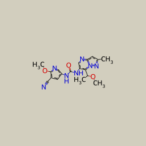 COc1ncc(NC(=O)Nc2cnc3cc(C)nn3c2C(C)OC)cc1C#N